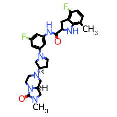 Cc1ccc(F)c2c1NC(C(=O)Nc1cc(F)cc(N3CC[C@@H](N4CCN5C(=O)N(C)C[C@@H]5C4)C3)c1)C2